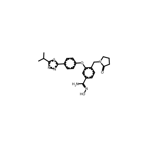 CC(C)c1nnc(-c2ccc(Oc3cc(C(N)=NO)ccc3CN3CCCC3=O)cc2)s1